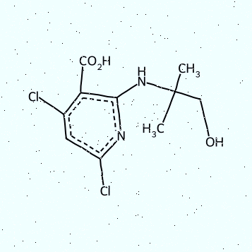 CC(C)(CO)Nc1nc(Cl)cc(Cl)c1C(=O)O